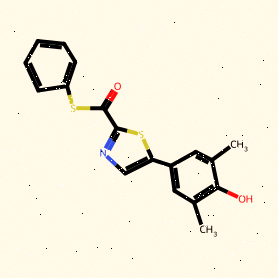 Cc1cc(-c2cnc(C(=O)Sc3ccccc3)s2)cc(C)c1O